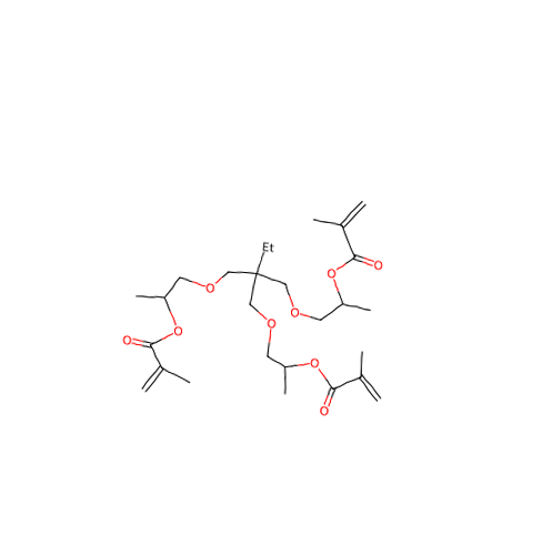 C=C(C)C(=O)OC(C)COCC(CC)(COCC(C)OC(=O)C(=C)C)COCC(C)OC(=O)C(=C)C